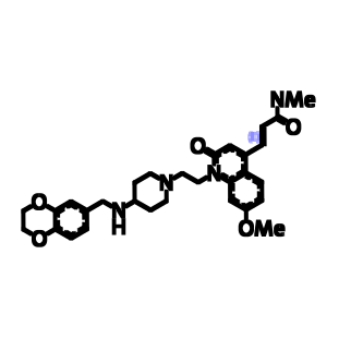 CNC(=O)/C=C/c1cc(=O)n(CCN2CCC(NCc3ccc4c(c3)OCCO4)CC2)c2cc(OC)ccc12